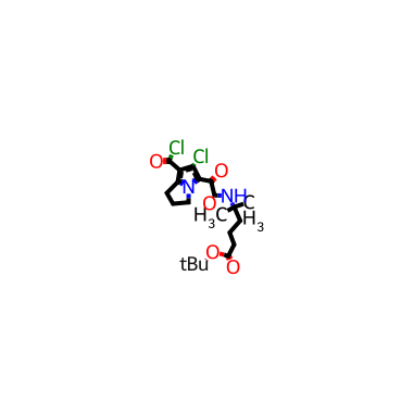 CC(C)(CCCC(=O)OC(C)(C)C)NC(=O)C(=O)c1c(Cl)c(C(=O)Cl)c2n1CCC2